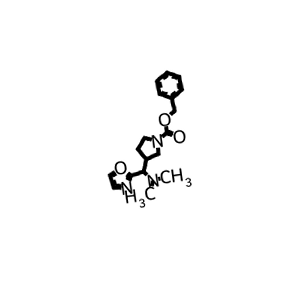 CN(C)C(c1ncco1)C1CCN(C(=O)OCc2ccccc2)C1